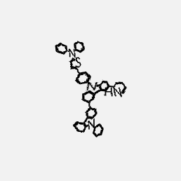 C1=CNC(c2ccc3c(c2)c2cc(-c4ccc5c(c4)c4ccccc4n5-c4ccccc4)ccc2n3-c2ccc(-c3ccc(N(c4ccccc4)c4ccccc4)s3)cc2)C=C1